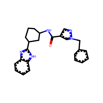 O=C(NC1CCCC(c2nc3ccccc3[nH]2)C1)c1cnn(Cc2ccccc2)c1